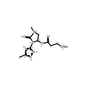 COCCC(=O)OC1CN(C)C(=O)N1c1nnc(C)s1